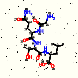 CC(C)C[C@H](NC(=O)[C@@H](NC(=O)[C@H](CCC(N)=O)NC(=O)CN)[C@@H](C)O)C(=O)O